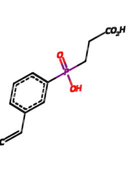 C=Cc1cccc(P(=O)(O)CCC(=O)O)c1